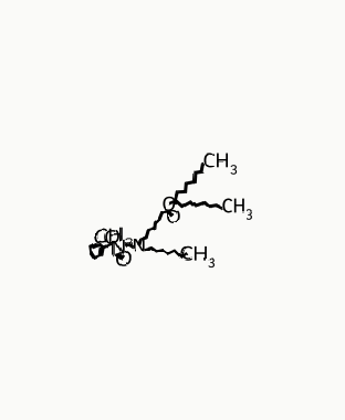 CCCCCCCCC(CCCCCCCC)OC(=O)CCCCCCCN(CCCCCCCC)CCN(C=O)C(=O)c1ccccc1C